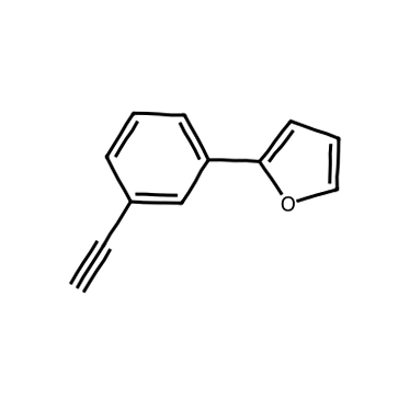 C#Cc1cccc(-c2ccco2)c1